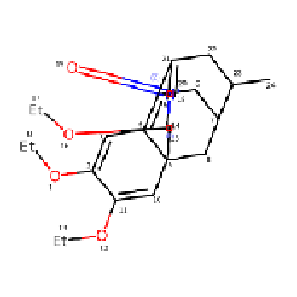 CCOC1=CC2=C3CC4CC2(C=C1OCC)/C=C(/OCC)[N+](=O)/C=C\3CC4C